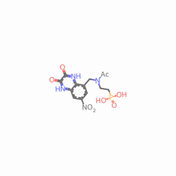 CC(=O)N(CCP(=O)(O)O)Cc1cc([N+](=O)[O-])cc2[nH]c(=O)c(=O)[nH]c12